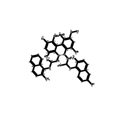 CCCc1ccc2c(OC(CCC)POc3c(CCC)cc(OCC)c(OC)c3-c3c(OC)c(CC)cc(CCC)c3OPC(CC)Oc3c(C)ccc4ccccc34)c(C)ccc2c1